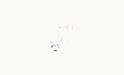 CCC(CCCC(C)O)c1ccccn1